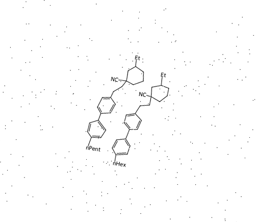 CCCCCCc1ccc(-c2ccc(CCC3(C#N)CCCC(CC)C3)cc2)cc1.CCCCCc1ccc(-c2ccc(CCC3(C#N)CCCC(CC)C3)cc2)cc1